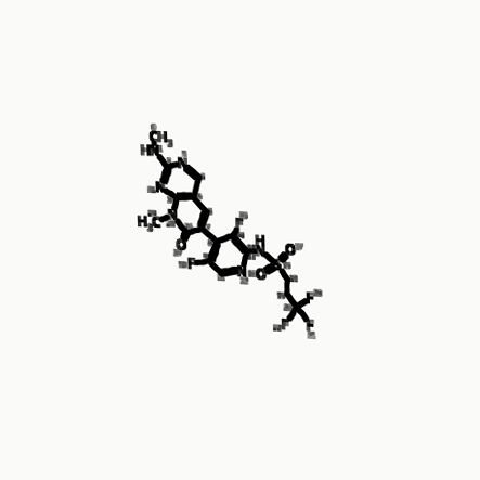 CNc1ncc2cc(-c3c(F)cnc(NS(=O)(=O)CCC(F)(F)F)c3F)c(=O)n(C)c2n1